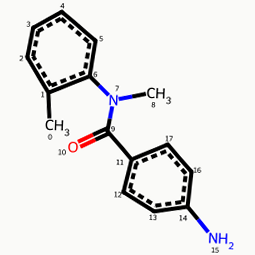 Cc1ccccc1N(C)C(=O)c1ccc(N)cc1